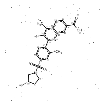 Cc1cc(S(=O)(=O)N2CC[C@H](F)C2)ccc1-c1nc2cc(C(=O)O)ccc2c(C)c1F